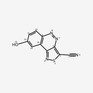 N#Cc1snc2c1nnc1ccc(O)cc12